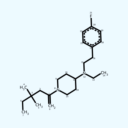 C=C(CC(C)(C)CC)N1CCC(N(CC)CCc2ccc(F)cc2)CC1